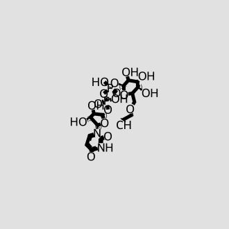 C#CCOCC1O[C@@H](OP(=O)(O)OP(=O)(O)O[C@H]2O[C@@H](n3ccc(=O)[nH]c3=O)[C@@H](O)C2O)C(O)C(O)[C@H]1O